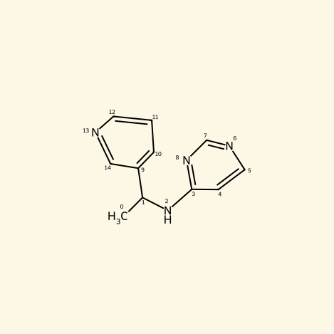 CC(Nc1ccncn1)c1cccnc1